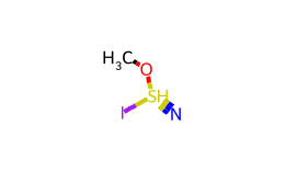 CO[SH](#N)I